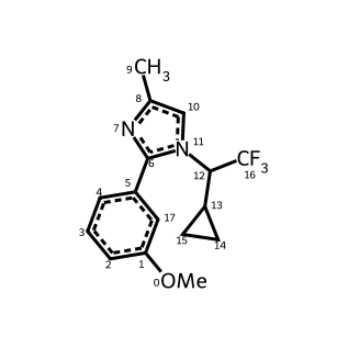 COc1cccc(-c2nc(C)cn2C(C2CC2)C(F)(F)F)c1